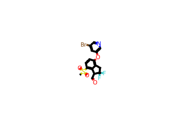 CS(=O)(=O)c1ccc(Oc2cncc(Br)c2)c2c1C(C=O)C(F)(F)C2